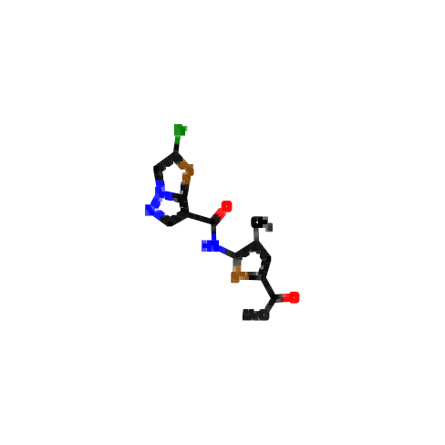 COC(=O)c1cc(C)c(NC(=O)c2cnn3cc(Br)sc23)s1